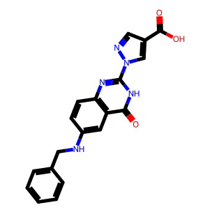 O=C(O)c1cnn(-c2nc3ccc(NCc4ccccc4)cc3c(=O)[nH]2)c1